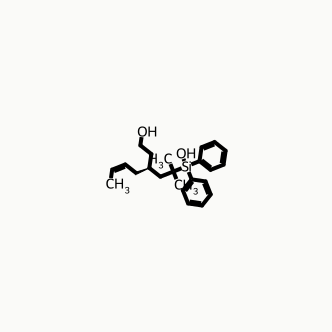 C/C=C\C[C@@H](CCO)CC(C)(C)[Si](O)(c1ccccc1)c1ccccc1